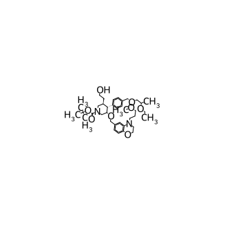 CCO[C@H](C)COCc1ccc([C@H]2[C@H](CCO)CN(C(=O)OC(C)(C)C)C[C@@H]2OCc2ccc3c(c2)N(CCCOC)CCO3)cc1